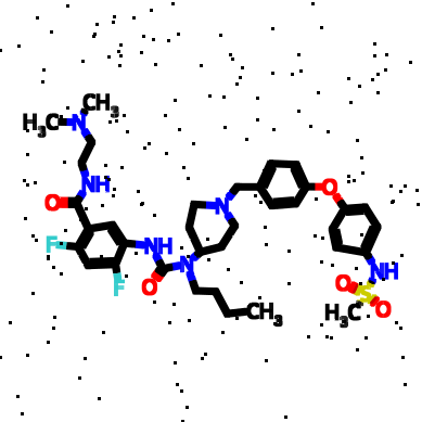 CCCCN(C(=O)Nc1cc(C(=O)NCCN(C)C)c(F)cc1F)C1CCN(Cc2ccc(Oc3ccc(NS(C)(=O)=O)cc3)cc2)CC1